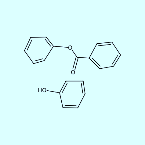 O=C(Oc1ccccc1)c1ccccc1.Oc1ccccc1